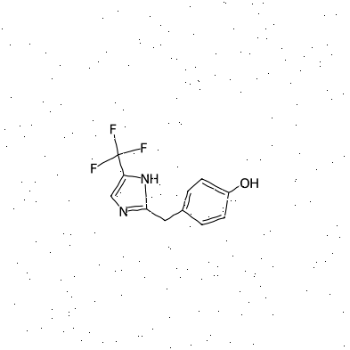 Oc1ccc(Cc2ncc(C(F)(F)F)[nH]2)cc1